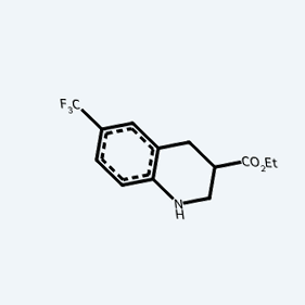 CCOC(=O)C1CNc2ccc(C(F)(F)F)cc2C1